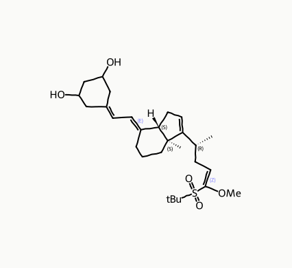 CO/C(=C/C[C@@H](C)C1=CC[C@H]2/C(=C/C=C3CC(O)CC(O)C3)CCC[C@]12C)S(=O)(=O)C(C)(C)C